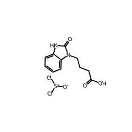 O=C(O)CCCn1c(=O)[nH]c2ccccc21.[O-][S+](Cl)Cl